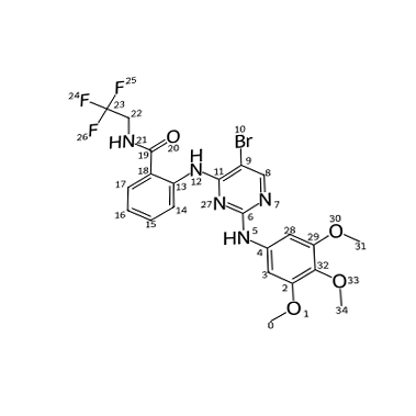 COc1cc(Nc2ncc(Br)c(Nc3ccccc3C(=O)NCC(F)(F)F)n2)cc(OC)c1OC